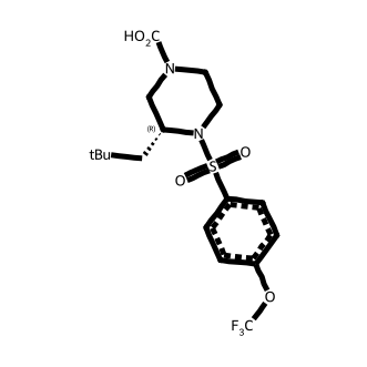 CC(C)(C)C[C@@H]1CN(C(=O)O)CCN1S(=O)(=O)c1ccc(OC(F)(F)F)cc1